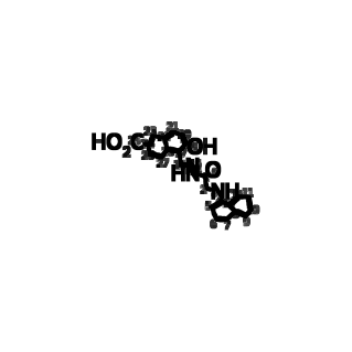 O=C(CNc1cccc2ccccc12)N/N=C/c1c(O)ccc2cc(C(=O)O)ccc12